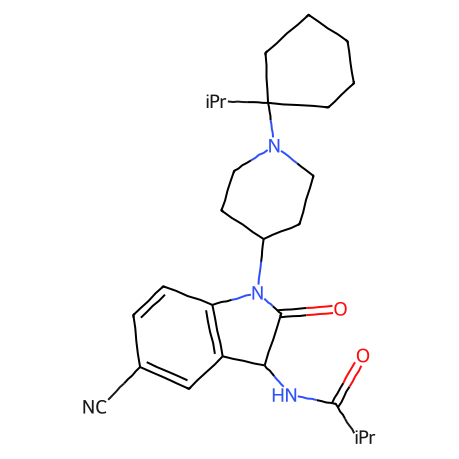 CC(C)C(=O)NC1C(=O)N(C2CCN(C3(C(C)C)CCCCC3)CC2)c2ccc(C#N)cc21